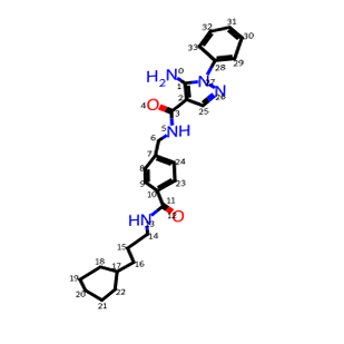 Nc1c(C(=O)NCc2ccc(C(=O)NCCCC3CCCCC3)cc2)cnn1-c1ccccc1